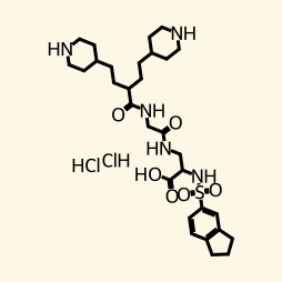 Cl.Cl.O=C(CNC(=O)C(CCC1CCNCC1)CCC1CCNCC1)NCC(NS(=O)(=O)c1ccc2c(c1)CCC2)C(=O)O